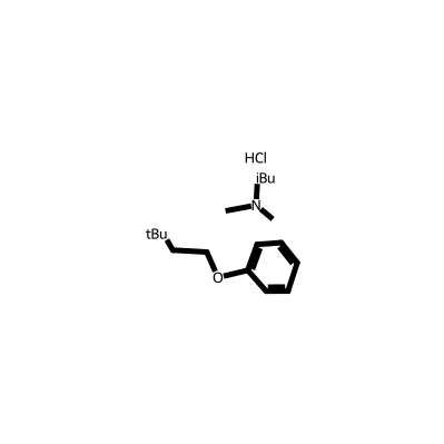 CC(C)(C)CCOc1ccccc1.CCC(C)N(C)C.Cl